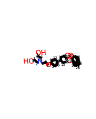 OCCN(CCO)CCOc1ccc([C@H]2CC[C@]3(CC2)OO[C@]2(O3)C3CC4CC(C3)CC2C4)cc1